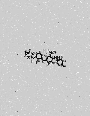 Cc1ccc(Nc2c(C(N)=O)cc(Cc3cccc(NS(=O)(=O)C4(C)CC4)c3F)c(F)c2F)c(F)c1